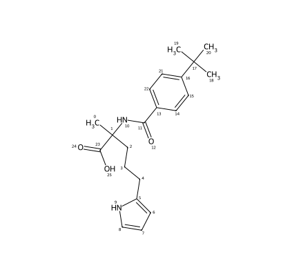 CC(CCCc1ccc[nH]1)(NC(=O)c1ccc(C(C)(C)C)cc1)C(=O)O